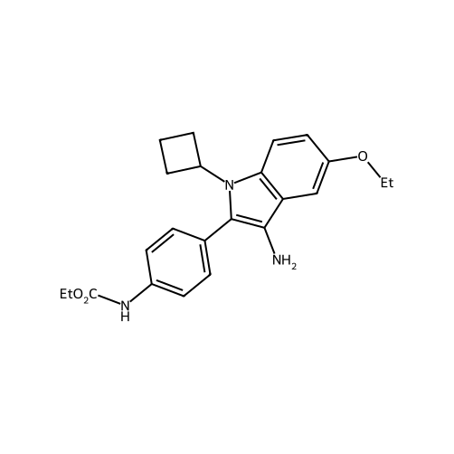 CCOC(=O)Nc1ccc(-c2c(N)c3cc(OCC)ccc3n2C2CCC2)cc1